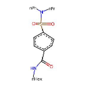 CCCCCCNC(=O)c1ccc(S(=O)(=O)N(CCC)CCC)cc1